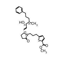 COC(=O)c1ccc(CCCN2C(=O)CC[C@@H]2C=C[C@H](O)[C@H](C)CCCc2ccccc2)s1